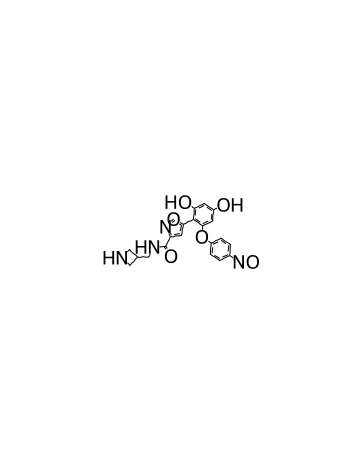 O=Nc1ccc(Oc2cc(O)cc(O)c2-c2cc(C(=O)NCC3CNC3)no2)cc1